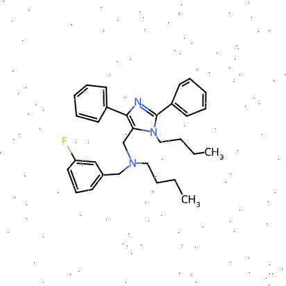 CCCCN(Cc1cccc(F)c1)Cc1c(-c2ccccc2)nc(-c2ccccc2)n1CCCC